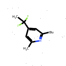 Cc1cc(C(C)(F)F)cc(C(C)(C)C)n1